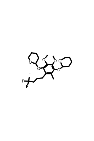 COc1c(OC2CCCCO2)c(C)c(CCCC(F)(F)F)c(OC2CCCCO2)c1OC